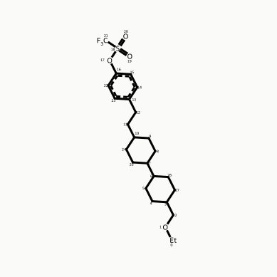 CCOCC1CCC(C2CCC(CCc3ccc(OS(=O)(=O)C(F)(F)F)cc3)CC2)CC1